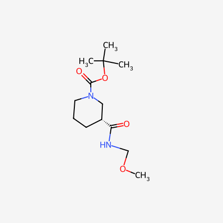 COCNC(=O)[C@@H]1CCCN(C(=O)OC(C)(C)C)C1